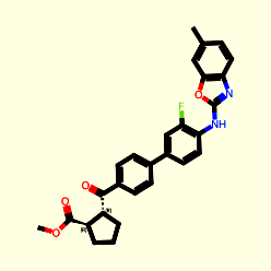 COC(=O)[C@@H]1CCC[C@H]1C(=O)c1ccc(-c2ccc(Nc3nc4ccc(C)cc4o3)c(F)c2)cc1